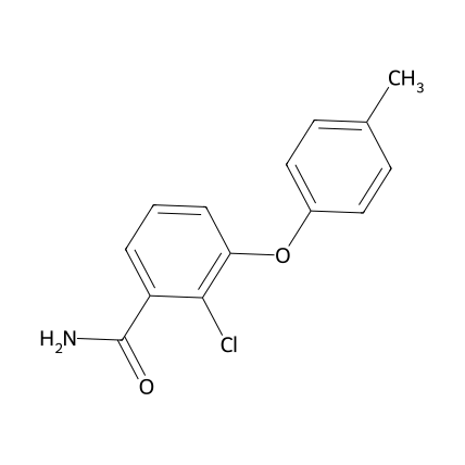 Cc1ccc(Oc2cccc(C(N)=O)c2Cl)cc1